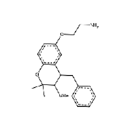 CNC1C(Cc2ccccc2)c2cc(OCCN)ccc2OC1(C)C